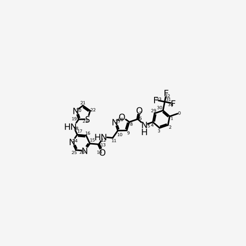 Cc1ccc(NC(=O)c2cc(CNC(=O)c3cc(Nc4nccs4)ncn3)no2)cc1C(F)(F)F